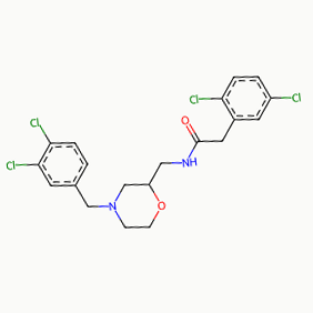 O=C(Cc1cc(Cl)ccc1Cl)NCC1CN(Cc2ccc(Cl)c(Cl)c2)CCO1